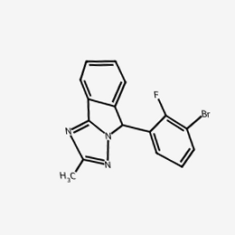 Cc1nc2n(n1)C(c1cccc(Br)c1F)c1ccccc1-2